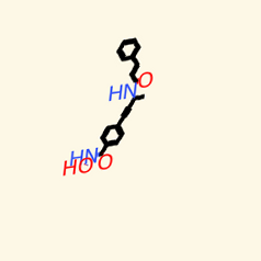 CC(C#Cc1ccc(C(=O)NO)cc1)NC(=O)/C=C/c1ccccc1